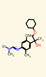 CCN(C)/C=N/c1cc(OC)c(C(O)(COC2CCCCC2)C(F)(F)F)cc1C